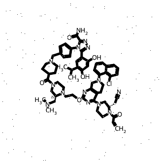 C=CC(=O)N1CCN(c2nc(OCCN3CCN(C(=O)C4CCN(Cc5ccc(-n6c(C(N)=O)nnc6-c6cc(C(C)C)c(O)cc6O)cc5)CC4)C[C@@H]3CN(C)C)nc3c2CCN(c2cccc4cccc(Cl)c24)C3)C[C@@H]1CC#N